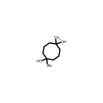 CC1(O)CCCC(O)(C(C)(C)C)CCC1